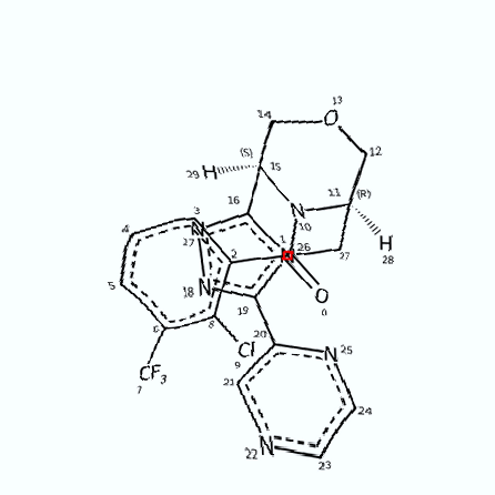 O=C(c1cccc(C(F)(F)F)c1Cl)N1[C@H]2COC[C@@H]1c1nnc(-c3cnccn3)n1C2